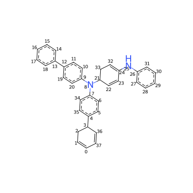 C1=CCC(c2ccc(N(c3ccc(-c4ccccc4)cc3)C3C=CC(Nc4ccccc4)=CC3)cc2)C=C1